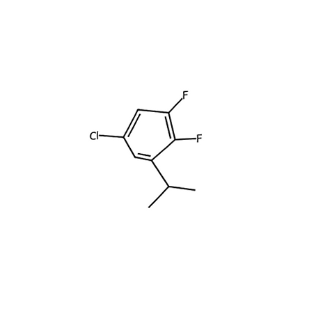 CC(C)c1cc(Cl)cc(F)c1F